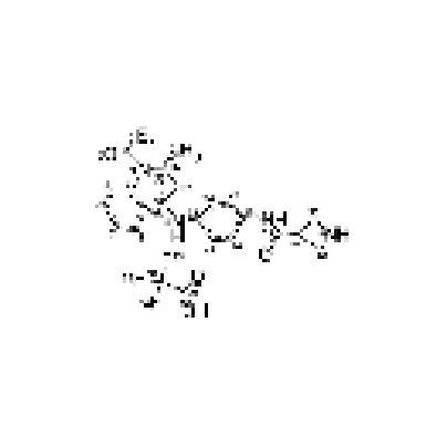 CCC(=O)N1c2ccccc2[C@H](Nc2ccc(NC(=O)C3CNC3)cc2)C[C@@H]1C.O=C(O)C(F)(F)F